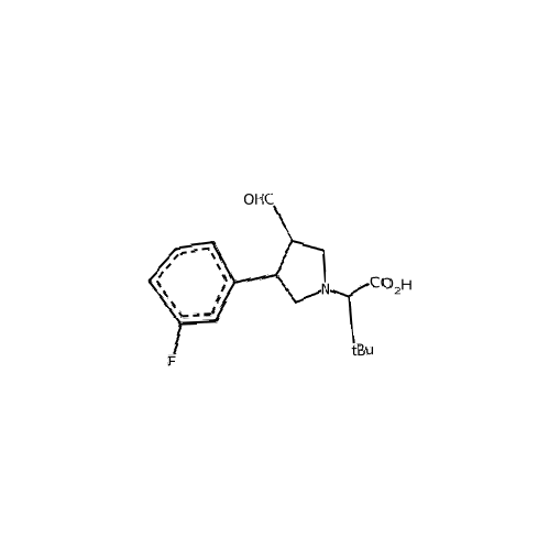 CC(C)(C)C(C(=O)O)N1CC(C=O)C(c2cccc(F)c2)C1